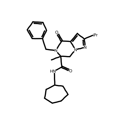 CC(C)c1cc2n(n1)CC(C)(C(=O)NC1CCCCCC1)N(Cc1ccccc1)C2=O